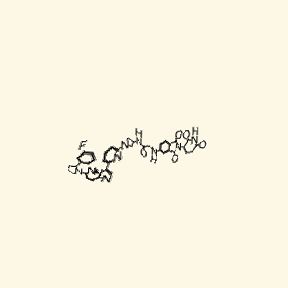 O=C1CCC(N2C(=O)c3ccc(NCC(=O)NC4CN(c5cccc(-c6cnc7ccc(N8CCCC8c8cccc(F)c8)nn67)n5)C4)cc3C2=O)C(=O)N1